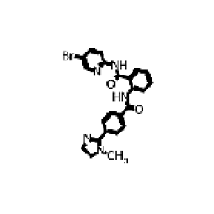 CN1CCN=C1c1ccc(C(=O)Nc2ccccc2C(=O)Nc2ccc(Br)cn2)cc1